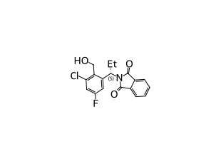 CC[C@@H](c1cc(F)cc(Cl)c1CO)N1C(=O)c2ccccc2C1=O